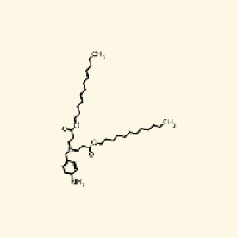 CCCCCCCCCCCCOC(=O)CCN(CCC(=O)OCCCCCCCCCCCC)Cc1ccc(N)cc1